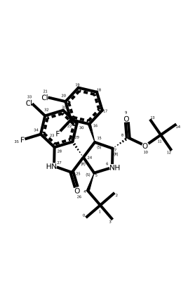 CC(C)(C)C[C@@H]1N[C@@H](C(=O)OC(C)(C)C)[C@H](c2cccc(Cl)c2F)[C@]12C(=O)Nc1c2ccc(Cl)c1F